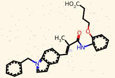 C/C(=C\c1ccc2c(ccn2Cc2ccccc2)c1)C(=O)Nc1ccccc1OCCCC(=O)O